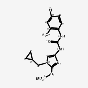 CCOC(=O)Oc1nc(NC(=O)Nc2ccc(Cl)cc2C)cn1CC1CC1